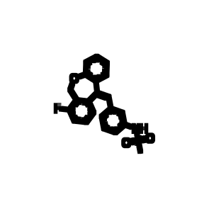 CS(=O)(=O)Nc1cccc(/C=C2/c3ccccc3OCc3c(F)cccc32)c1